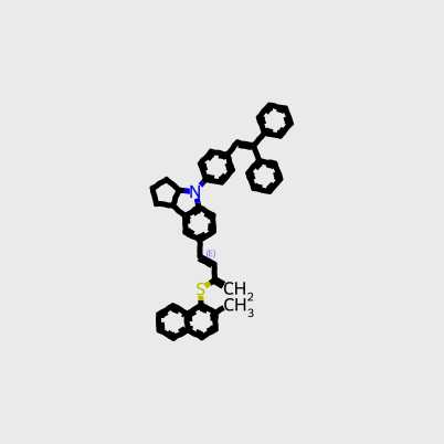 C=C(/C=C/c1ccc2c(c1)C1CCCC1N2c1ccc(C=C(c2ccccc2)c2ccccc2)cc1)Sc1c(C)ccc2ccccc12